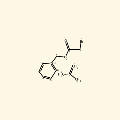 C=C(C)C.O=C(CBr)OCc1ccccc1